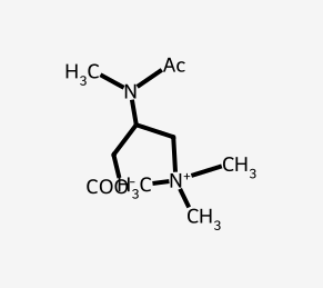 CC(=O)N(C)C(CC(=O)[O-])C[N+](C)(C)C